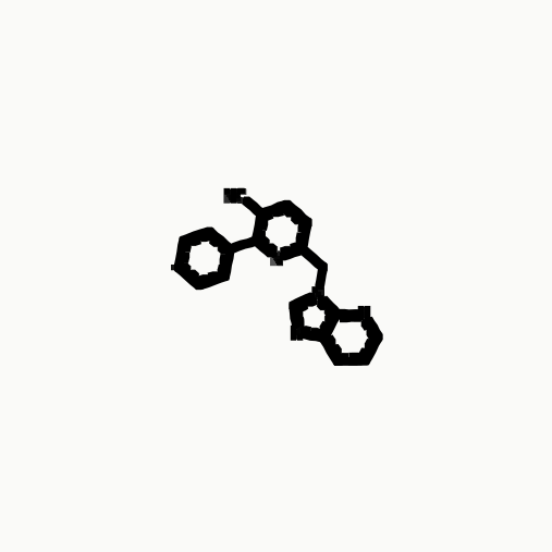 N#Cc1ccc(Cn2cnc3cccnc32)nc1-c1cc[c]cc1